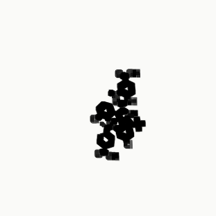 COc1cc(C(=O)O)ccc1NC(=O)[C@@H]1NC(CC(C)(C)C)[C@@]2(CN([C@@H](C)[C@H]3CC[C@H](C(=O)O)CC3)c3cc(Cl)ccc32)[C@H]1c1cccc(Cl)c1F